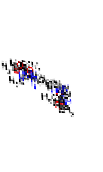 C=C1C[C@@H](c2ncc(-c3ccc(-c4ccc5cc(-c6cnc([C@@H]7CCCN7C(=O)[C@@H](NC(=O)OC)C(C)C)[nH]6)ccc5c4)cc3)[nH]2)N(C(=O)[C@@H](NC(=O)OC)C(C)C)C1